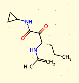 C=C(C)N[C@@H](CCC)C(=O)C(=O)NC1CC1